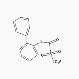 O=C(O)S(=O)(=O)C(=O)Oc1ccccc1-c1ccccc1